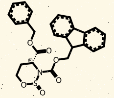 O=C(OCc1ccccc1)[C@H]1CCOS(=O)N1C(=O)OCC1c2ccccc2-c2ccccc21